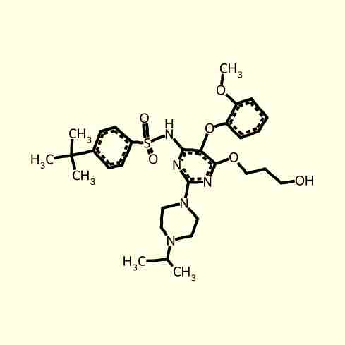 COc1ccccc1Oc1c(NS(=O)(=O)c2ccc(C(C)(C)C)cc2)nc(N2CCN(C(C)C)CC2)nc1OCCCO